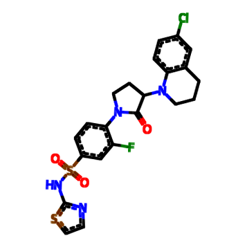 O=C1C(N2CCCc3cc(Cl)ccc32)CCN1c1ccc(S(=O)(=O)Nc2nccs2)cc1F